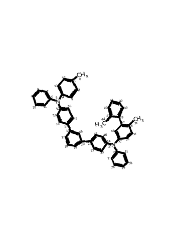 Cc1ccc(N(c2ccccc2)c2ccc(-c3cccc(-c4ccc(N(c5ccccc5)c5ccc(C)c(-c6ccccc6C)c5)cc4)c3)cc2)cc1